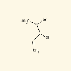 C=CC(O)C(C(C)=O)C(=O)O